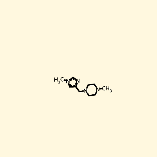 CN1CCN(Cc2cn(C)cn2)CC1